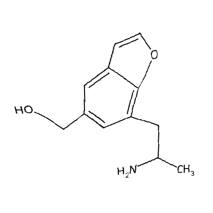 CC(N)Cc1cc(CO)cc2ccoc12